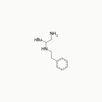 CCCCC(CN)NCCc1ccccc1